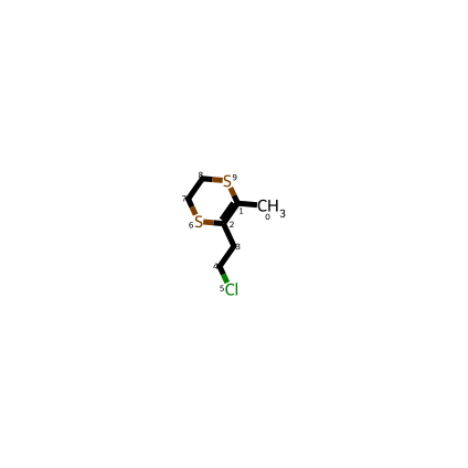 CC1=C(CCCl)SCCS1